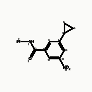 CC(C)NC(=O)c1cc(C2CC2)cc([N+](=O)[O-])c1